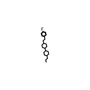 CCCC1CCC(C2CCC(CCc3ccc(F)cc3)CC2)CC1